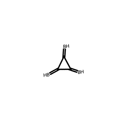 B=C1C(=B)C1=B